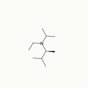 CCN(C(C)C)[C@@H](C)C(C)C